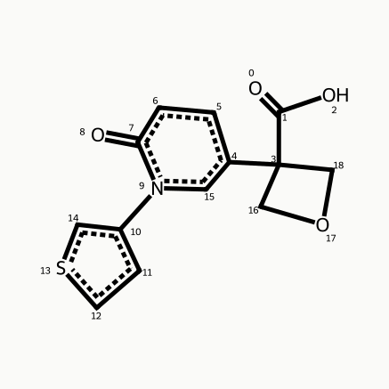 O=C(O)C1(c2ccc(=O)n(-c3ccsc3)c2)COC1